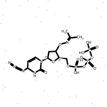 CC(C)=NOC1C[C@H](N2C=CC(N=[N+]=[N-])NC2=O)O[C@@H]1COP(=O)(O)OP(=O)(O)OP(=O)(O)O